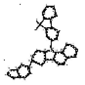 CC1(C)c2ccccc2-c2ccc(-n3c4ccc(-c5ccc6ccsc6c5)cc4c4ccc5ccccc5c43)cc21